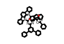 c1ccc(-c2cc(-c3ccccc3)cc(-c3nc(-c4cccc5nc(-c6ccccc6)oc45)nc(-n4c5ccccc5c5ccc6c7ccccc7n(-c7cccc(-c8ccccc8)c7)c6c54)n3)c2)cc1